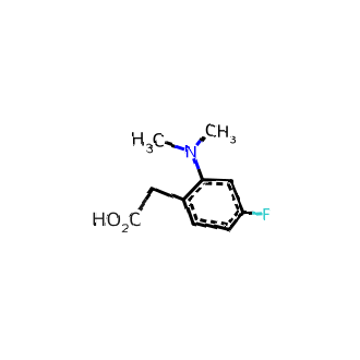 CN(C)c1cc(F)ccc1CC(=O)O